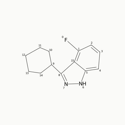 Fc1cccc2[nH]nc(C3CCCCC3)c12